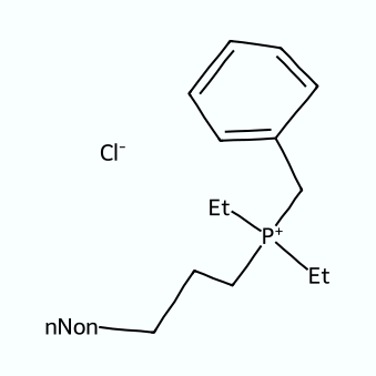 CCCCCCCCCCCC[P+](CC)(CC)Cc1ccccc1.[Cl-]